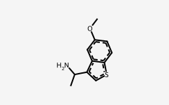 COc1ccc2scc(C(C)N)c2c1